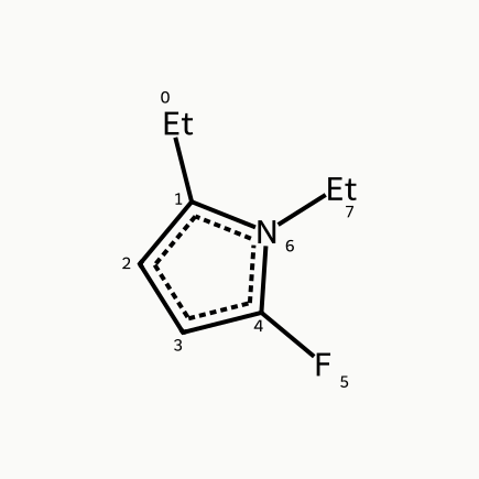 CCc1ccc(F)n1CC